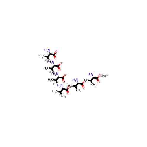 CC(C)[C@H](N)C(=O)[O-].CC(C)[C@H](N)C(=O)[O-].CC(C)[C@H](N)C(=O)[O-].CC(C)[C@H](N)C(=O)[O-].CC(C)[C@H](N)C(=O)[O-].CC(C)[C@H](N)C(=O)[O-].[Mo+6]